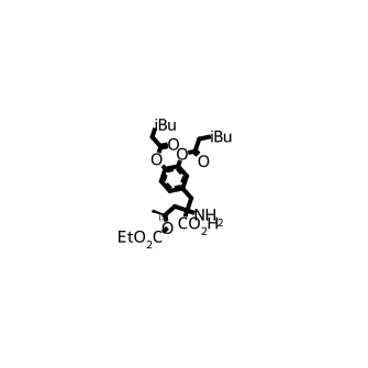 CCOC(=O)O[C@@H](C)CC(N)(Cc1ccc(OC(=O)CC(C)CC)c(OC(=O)CC(C)CC)c1)C(=O)O